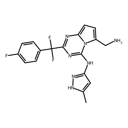 Cc1cc(Nc2nc(C(F)(F)c3ccc(F)cc3)nc3ccc(CN)n23)n[nH]1